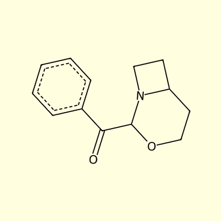 O=C(c1ccccc1)C1OCCC2CCN21